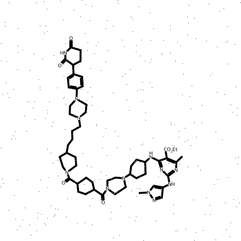 CCOC(=O)c1c(C)nc(Nc2cnn(C)c2)nc1NC1CCC(N2CCN(C(=O)C3CCC(C(=O)N4CCC(CCCCN5CCN(c6ccc(C7CCC(=O)NC7=O)cc6)CC5)CC4)CC3)CC2)CC1